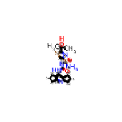 CC(C)(O)c1nc([S@@](N)(=O)=NC(=O)Nc2c3c(nc4c2CCC4)CCC3)cs1